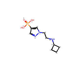 O=P(O)(O)c1cnn(CCNC2CCC2)c1